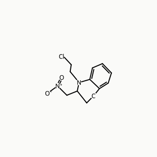 O=[N+]([O-])CC1CCc2ccccc2N1CCCl